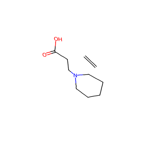 C=C.O=C(O)CCN1CCCCC1